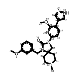 COc1cccc(CN2C(=O)N(c3ccc(-c4cn[nH]c4)c(OC)n3)CC23CCN(C)CC3)c1